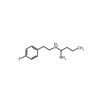 CCCC(N)[SiH2]CCc1ccc(F)cc1